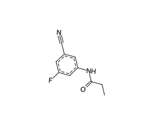 CCC(=O)Nc1cc(F)cc(C#N)c1